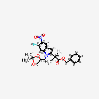 CC1(C)OCC(Cn2c(C(C)(C)C(=O)OCc3ccccc3)cc3cc([N+](=O)[O-])c(F)cc32)O1